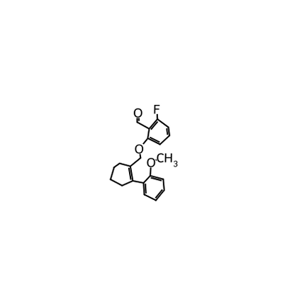 COc1ccccc1C1=C(COc2cccc(F)c2C=O)CCCC1